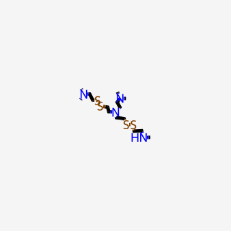 CNCCSSCCN(CCSSCCN(C)C)CCN(C)C